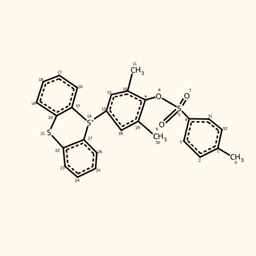 Cc1ccc(S(=O)(=O)Oc2c(C)cc([S+]3c4ccccc4Sc4ccccc43)cc2C)cc1